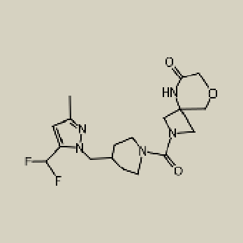 Cc1cc(C(F)F)n(CC2CCN(C(=O)N3CC4(COCC(=O)N4)C3)CC2)n1